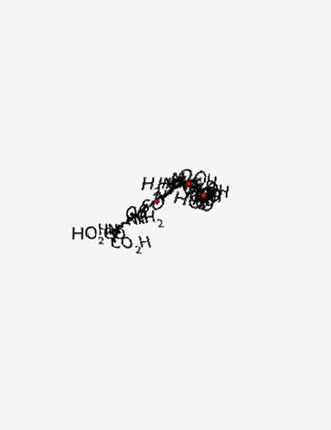 Nc1nc(=O)n([C@H]2C[C@@H](O)[C@@H](COP(=O)(O)OP(=O)(O)OP(=O)(O)O)O2)cc1C#CCNC(=O)CCSSCC(N)C(=O)NCCCCCC(=O)NC(CCC(=O)O)C(=O)O